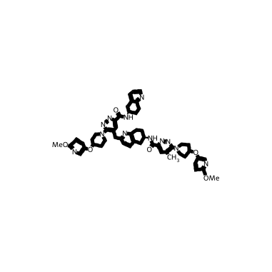 COc1ccc(OC2CCN(c3nnc(C(=O)N[C@@H]4CCc5nc(Cc6cc(C(=O)N[C@H]7CCc8ncccc8C7)nnc6N6CCC(Oc7ccc(OC)nc7)CC6)ccc5C4)cc3C)CC2)cn1